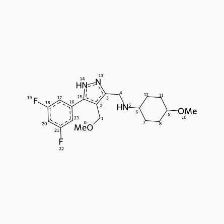 COCc1c(CNC2CCC(OC)CC2)n[nH]c1-c1cc(F)cc(F)c1